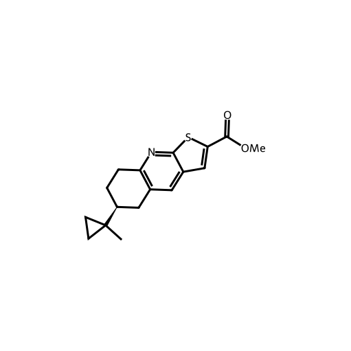 COC(=O)c1cc2cc3c(nc2s1)CC[C@H](C1(C)CC1)C3